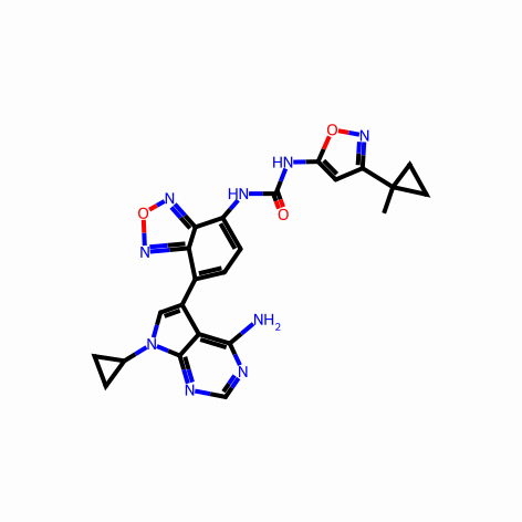 CC1(c2cc(NC(=O)Nc3ccc(-c4cn(C5CC5)c5ncnc(N)c45)c4nonc34)on2)CC1